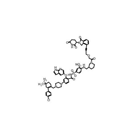 CC1(C)CCC(CN2CCN(c3ccc(C(=O)NS(=O)(=O)c4ccc(NCC5CCCN(C(=O)COCC#Cc6cccc7c6CN(C6CCC(=O)NC6=O)C7=O)C5)c([N+](=O)[O-])c4)c(Oc4cnc5[nH]ccc5c4)c3)CC2)=C(c2ccc(Cl)cc2)C1